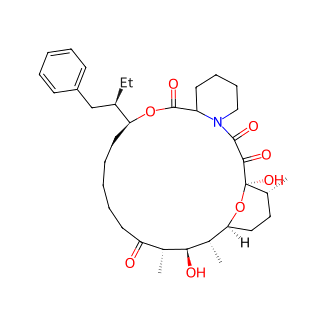 CC[C@H](Cc1ccccc1)[C@@H]1CCCCCC(=O)[C@@H](C)[C@H](O)[C@@H](C)[C@@H]2CC[C@@H](C)[C@@](O)(O2)C(=O)C(=O)N2CCCCC2C(=O)O1